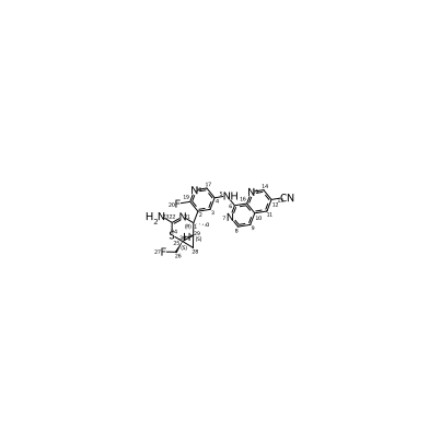 C[C@@]1(c2cc(Nc3nccc4cc(C#N)cnc34)cnc2F)N=C(N)S[C@@]2(CF)C[C@H]21